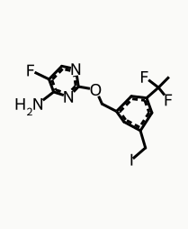 CC(F)(F)c1cc(CI)cc(COc2ncc(F)c(N)n2)c1